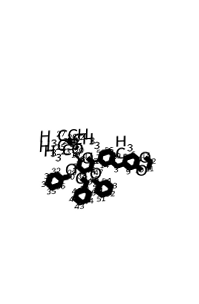 CC1=C(Cc2ccc3c(c2)OCCO3)CC([C@@H]2O[C@H](CO[Si](C)(C)C(C)(C)C)[C@@H](OCc3ccccc3)[C@H](OCc3ccccc3)[C@H]2OCc2ccccc2)C=C1